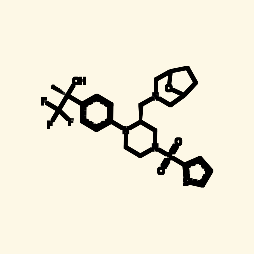 C[C@](O)(c1ccc(N2CCN(S(=O)(=O)c3cccs3)C[C@@H]2CN2CC3CCC(C2)O3)cc1)C(F)(F)F